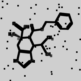 CC(C)C1c2nc[nH]c2C[C@@](C)(C(=O)O)N1C(=O)OCc1ccccc1